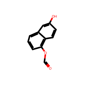 O=COc1cccc2cc(O)ccc12